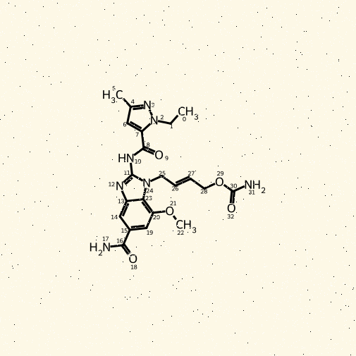 CCn1nc(C)cc1C(=O)Nc1nc2cc(C(N)=O)cc(OC)c2n1C/C=C/COC(N)=O